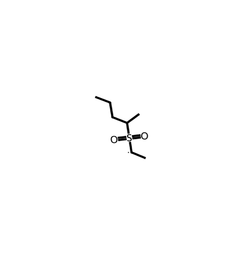 C[CH]S(=O)(=O)C(C)CCC